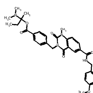 CCC(C)(OC(=O)c1ccc(Cn2c(=O)c3cc(C(=O)NCc4ccc(OC)cc4)ccc3n(C)c2=O)cc1)N(C)C